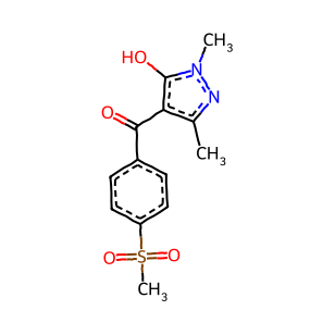 Cc1nn(C)c(O)c1C(=O)c1ccc(S(C)(=O)=O)cc1